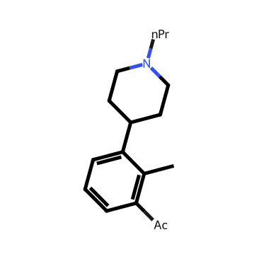 CCCN1CCC(c2cccc(C(C)=O)c2C)CC1